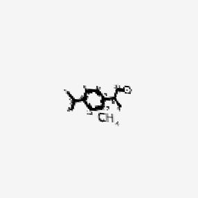 C.CC(C)c1ccc(C(C)C=O)cc1